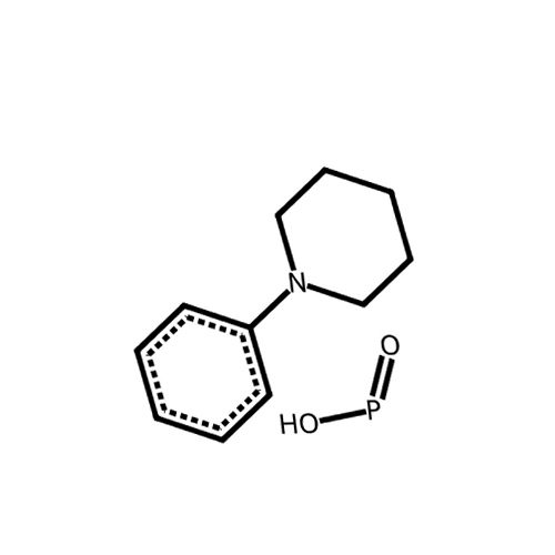 O=PO.c1ccc(N2CCCCC2)cc1